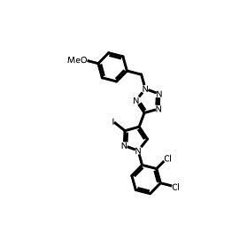 COc1ccc(Cn2nnc(-c3cn(-c4cccc(Cl)c4Cl)nc3I)n2)cc1